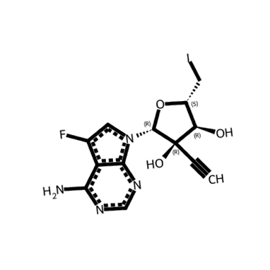 C#C[C@@]1(O)[C@H](O)[C@@H](CI)O[C@H]1n1cc(F)c2c(N)ncnc21